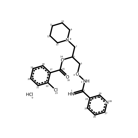 Cl.N=C(NOCC(CN1CCCCC1)OC(=O)c1ccccc1Cl)c1cccnc1